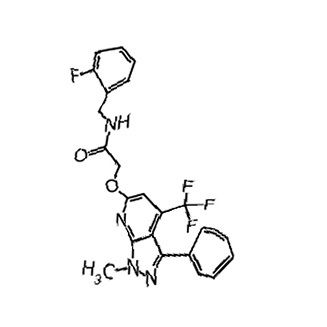 Cn1nc(-c2ccccc2)c2c(C(F)(F)F)cc(OCC(=O)NCc3ccccc3F)nc21